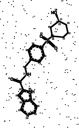 O=C(NCc1ccc(S(=O)(=O)N2CCC[C@H](O)C2)cc1)c1cc2cnccc2[nH]1